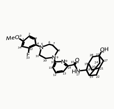 COc1ccc(N2CCCN(c3cccc(C(=O)NC4C5CC6CC4CC(O)(C6)C5)n3)CC2)c(F)c1